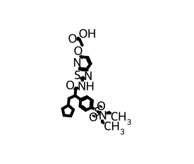 CCN(CC)S(=O)(=O)c1ccc(C(CC2CCCC2)C(=O)Nc2nc3ccc(OCC(=O)O)nc3s2)cc1